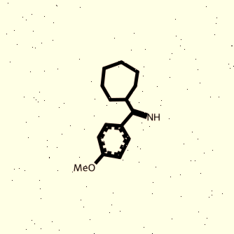 COc1ccc(C(=N)C2CCCCCC2)cc1